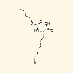 C=CCCCOC[C@H](NC(=O)OCCCC)C(=O)O